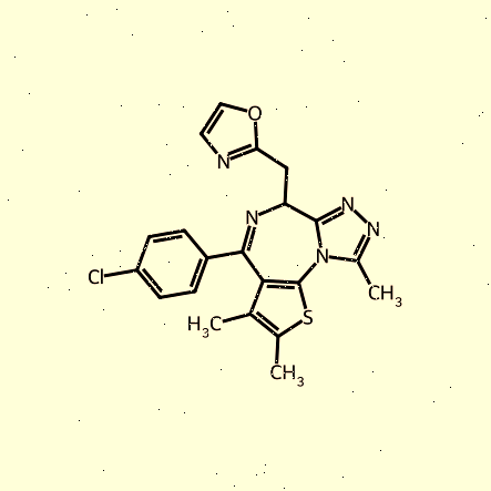 Cc1sc2c(c1C)C(c1ccc(Cl)cc1)=NC(Cc1ncco1)c1nnc(C)n1-2